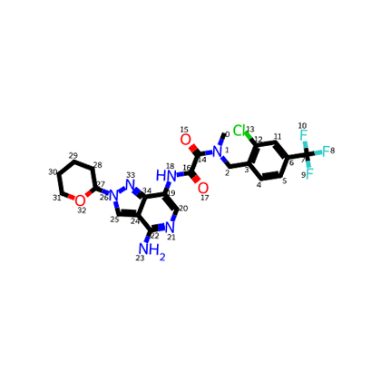 CN(Cc1ccc(C(F)(F)F)cc1Cl)C(=O)C(=O)Nc1cnc(N)c2cn(C3CCCCO3)nc12